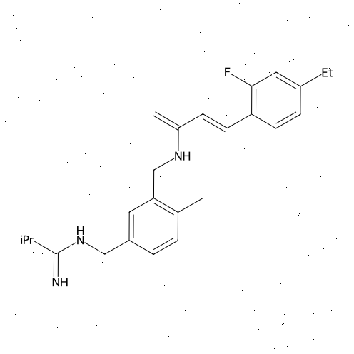 C=C(/C=C/c1ccc(CC)cc1F)NCc1cc(CNC(=N)C(C)C)ccc1C